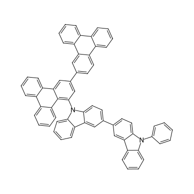 c1ccc(-n2c3ccccc3c3cc(-c4ccc5c(c4)c4ccccc4n5-c4cc(-c5ccc6c7ccccc7c7ccccc7c6c5)cc5c6ccccc6c6ccccc6c45)ccc32)cc1